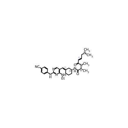 CCNc1nc(Nc2ccc(C#N)cc2)ncc1/C=C1\CCC[C@H](NC(=O)[C@H](C)N(C)C(=O)/C=C/CN(C)C)C1